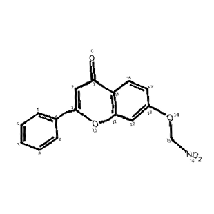 O=c1cc(-c2ccccc2)oc2cc(OC[N+](=O)[O-])ccc12